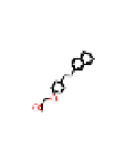 c1ccc2cc(CCc3ccc(OCC4CO4)cc3)ccc2c1